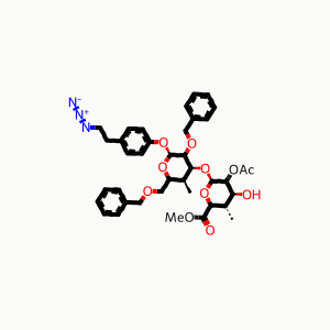 COC(=O)C1O[C@@H](O[C@@H]2C(OCc3ccccc3)[C@H](Oc3ccc(CCN=[N+]=[N-])cc3)OC(COCc3ccccc3)[C@@H]2C)C(OC(C)=O)[C@@H](O)[C@@H]1C